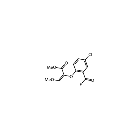 COC=C(Oc1ccc(Cl)cc1C(=O)F)C(=O)OC